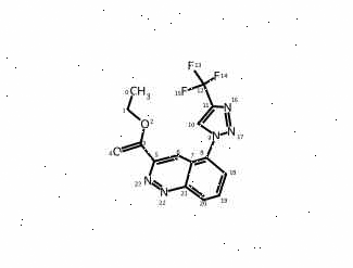 CCOC(=O)c1cc2c(-n3cc(C(F)(F)F)nn3)cccc2nn1